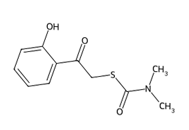 CN(C)C(=O)SCC(=O)c1ccccc1O